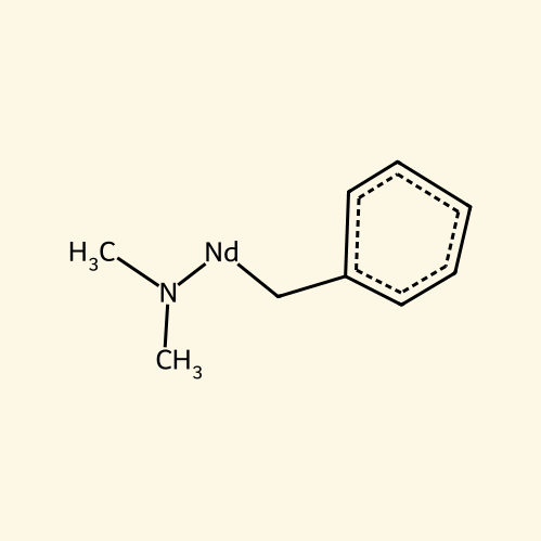 C[N](C)[Nd][CH2]c1ccccc1